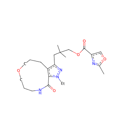 CCn1nc(CC(C)(C)COC(=O)c2coc(C)n2)c2c1C(=O)NCCCOCCC2